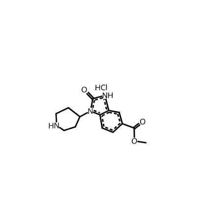 COC(=O)c1ccc2c(c1)[nH]c(=O)n2C1CCNCC1.Cl